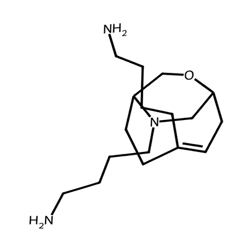 NCCCC/C1=C\CC2CN(CCCCN)C(CC1)CO2